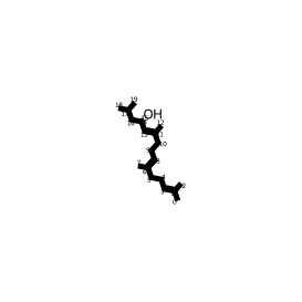 CC(C)=CCCC(C)=CCCC(C)=CC(O)CC(C)C